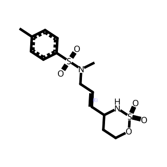 Cc1ccc(S(=O)(=O)N(C)C/C=C/C2CCOS(=O)(=O)N2)cc1